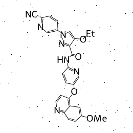 CCOc1cn(-c2ccc(C#N)nc2)nc1C(=O)Nc1ccc(Oc2ccnc3ccc(OC)cc23)cn1